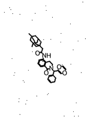 CC12CC3CC(C)(C1)CC(CC(=O)Nc1cccc4c1CCN(C(C1=CC=CCC1)C1=COC=CO1)C4=O)(C3)C2